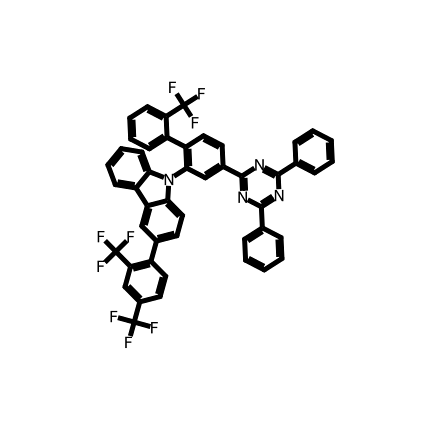 FC(F)(F)c1ccc(-c2ccc3c(c2)c2ccccc2n3-c2cc(-c3nc(-c4ccccc4)nc(-c4ccccc4)n3)ccc2-c2ccccc2C(F)(F)F)c(C(F)(F)F)c1